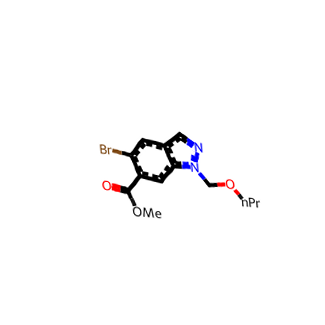 CCCOCn1ncc2cc(Br)c(C(=O)OC)cc21